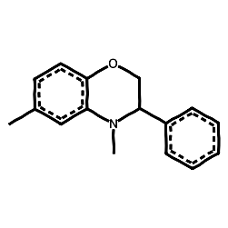 Cc1ccc2c(c1)N(C)C(c1ccccc1)CO2